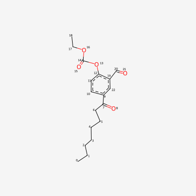 CCCCCCCC(=O)c1ccc(OC(=O)OCC)c([C]=O)c1